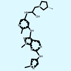 Cc1ncc(NC(O)CN2CC[C@H](C)C2)cc1Nc1nn(C)c2nc(Nc3cnn(C)c3)ncc12